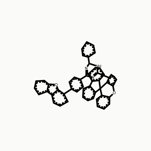 c1ccc(C2N=C(c3ccc(-c4cccc5c4oc4ccccc45)cc3)N=C(c3cccc4c3C3(c5ccccc5O4)c4ccccc4-c4ccccc43)N2)cc1